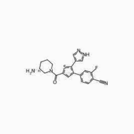 N#Cc1ccc(-c2cc(C(=O)N3CCC[C@@H](N)C3)sc2-c2cn[nH]c2)cc1F